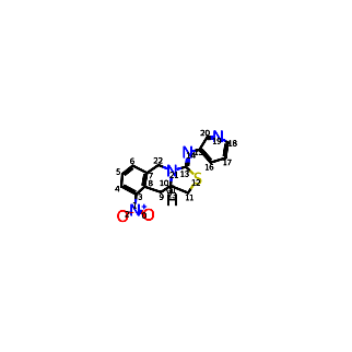 O=[N+]([O-])c1cccc2c1C[C@H]1CSC(=Nc3cccnc3)N1C2